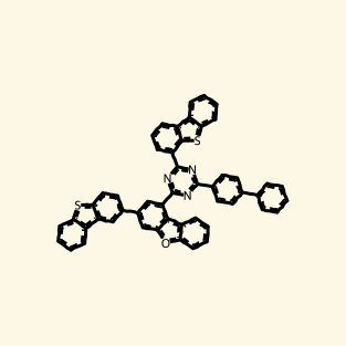 c1ccc(-c2ccc(-c3nc(-c4cccc5c4sc4ccccc45)nc(-c4cc(-c5ccc6sc7ccccc7c6c5)cc5oc6ccccc6c45)n3)cc2)cc1